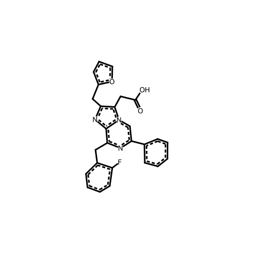 O=C(O)Cc1c(Cc2ccco2)nc2c(Cc3ccccc3F)nc(-c3ccccc3)cn12